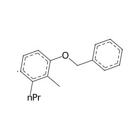 CCCc1[c]ccc(OCc2ccccc2)c1C